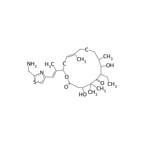 CCC1C(=O)C(C)(C)C(O)CC(=O)OC(C(C)=Cc2csc(CN)n2)C/C=C(\C)CCCC(C)C1O